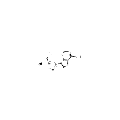 N#C[C@@]1(CO)CC[C@H](c2ccc3c(N)ncnn23)O1